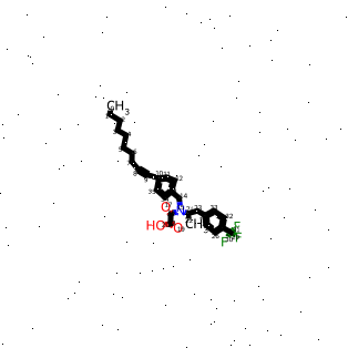 CCCCCCCCC#Cc1ccc(CN(C(=O)C(=O)O)C(C)Cc2ccc(C(F)(F)F)cc2)cc1